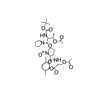 COC(=O)[C@H](NC(=O)[C@]1(Cc2ccc(C)cc2)CCCN1C(=O)[C@@H]1CCCN1C(=O)[C@@H](NC(=O)OC(C)(C)C)[C@@H](C)OC(C)=O)[C@@H](C)OC(C)=O